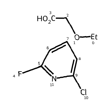 CCOCC(=O)O.Fc1cccc(Cl)n1